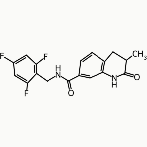 CC1Cc2ccc(C(=O)NCc3c(F)cc(F)cc3F)cc2NC1=O